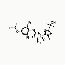 CCCc1cc(OC(F)F)cc(C(C)C)c1NC(=O)N=S(N)(=O)c1sc(C(C)(C)O)cc1F